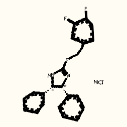 Cl.Fc1ccc(CSC2=N[C@H](c3ccccc3)[C@H](c3ccccc3)N2)cc1F